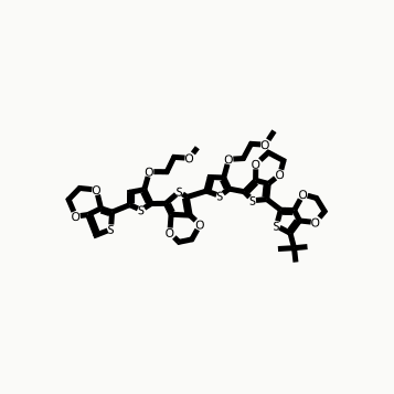 COCCOc1cc(-c2scc3c2OCCO3)sc1-c1sc(-c2cc(OCCOC)c(-c3sc(-c4sc(C(C)(C)C)c5c4OCCO5)c4c3OCCO4)s2)c2c1OCCO2